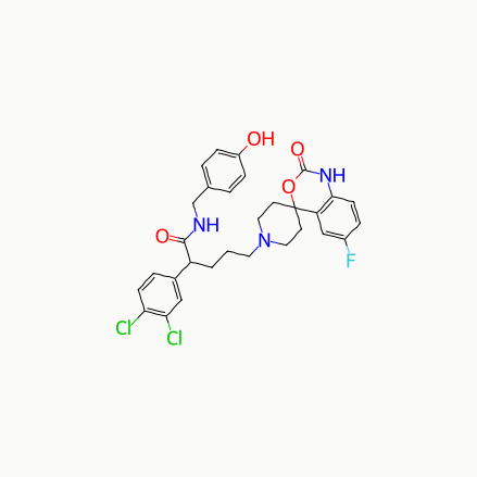 O=C1Nc2ccc(F)cc2C2(CCN(CCCC(C(=O)NCc3ccc(O)cc3)c3ccc(Cl)c(Cl)c3)CC2)O1